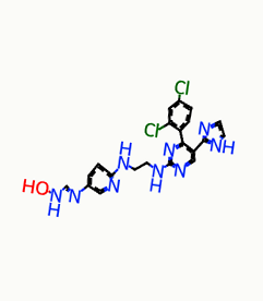 ONC=Nc1ccc(NCCNc2ncc(-c3ncc[nH]3)c(-c3ccc(Cl)cc3Cl)n2)nc1